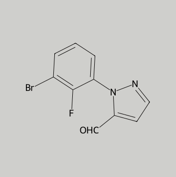 O=Cc1ccnn1-c1cccc(Br)c1F